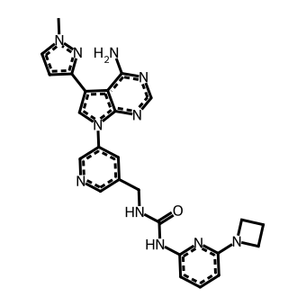 Cn1ccc(-c2cn(-c3cncc(CNC(=O)Nc4cccc(N5CCC5)n4)c3)c3ncnc(N)c23)n1